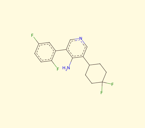 Nc1c(-c2cc(F)ccc2F)cncc1C1CCC(F)(F)CC1